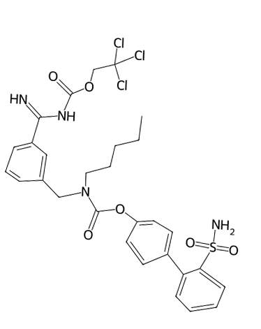 CCCCCN(Cc1cccc(C(=N)NC(=O)OCC(Cl)(Cl)Cl)c1)C(=O)Oc1ccc(-c2ccccc2S(N)(=O)=O)cc1